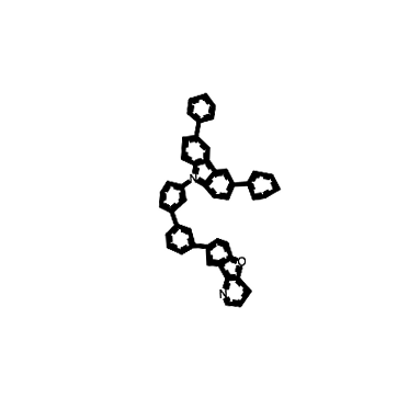 c1ccc(-c2ccc3c(c2)c2cc(-c4ccccc4)ccc2n3-c2cccc(-c3cccc(-c4ccc5oc6cccnc6c5c4)c3)c2)cc1